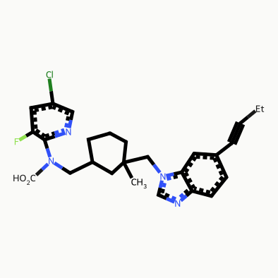 CCC#Cc1ccc2ncn(CC3(C)CCCC(CN(C(=O)O)c4ncc(Cl)cc4F)C3)c2c1